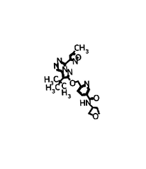 Cc1cc(-c2nncc3c(C(C)(C)C)c(OCc4ccc(C(=O)NC5CCOC5)cn4)nn23)no1